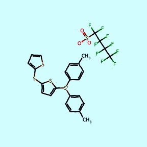 Cc1ccc([S+](c2ccc(C)cc2)c2ccc(Sc3cccs3)s2)cc1.O=S(=O)([O-])C(F)(F)C(F)(F)C(F)(F)C(F)(F)F